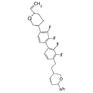 C=CC1CCC(c2ccc(-c3ccc(CCC4CCC(CCC)OC4)c(F)c3F)c(F)c2F)CO1